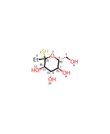 CC[C@@]1(S)O[C@H](CO)[C@@H](O)[C@H](O)[C@H]1O